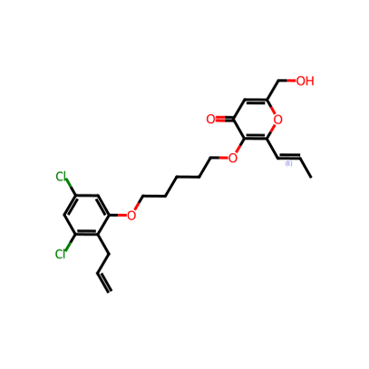 C=CCc1c(Cl)cc(Cl)cc1OCCCCCOc1c(/C=C/C)oc(CO)cc1=O